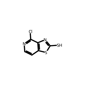 Sc1nc2c(Cl)nccc2s1